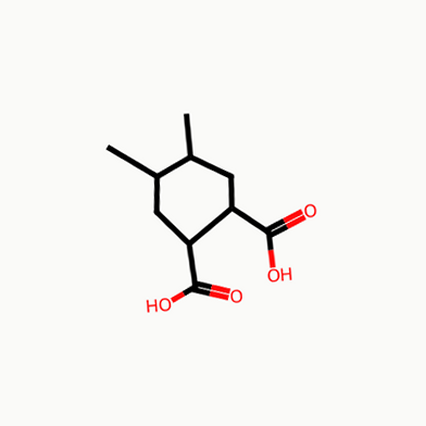 CC1CC(C(=O)O)C(C(=O)O)CC1C